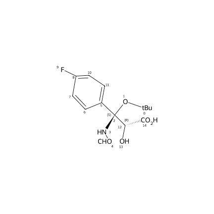 CC(C)(C)O[C@@](NC=O)(c1ccc(F)cc1)[C@@H](O)C(=O)O